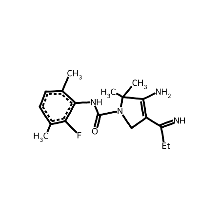 CCC(=N)C1=C(N)C(C)(C)N(C(=O)Nc2c(C)ccc(C)c2F)C1